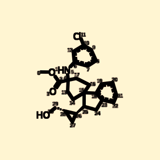 COC(=O)C1(Nc2cccc(Cl)c2)CCC2(CC1)c1ccccc1CC2[C@H]1C[C@@H]1CO